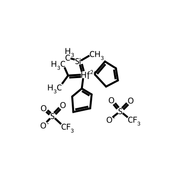 C[C](C)=[Hf+2]([C]1=CC=CC1)([C]1=CC=CC1)=[Si](C)C.O=S(=O)([O-])C(F)(F)F.O=S(=O)([O-])C(F)(F)F